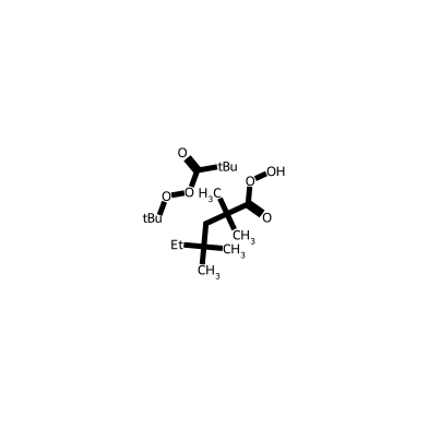 CC(C)(C)OOC(=O)C(C)(C)C.CCC(C)(C)CC(C)(C)C(=O)OO